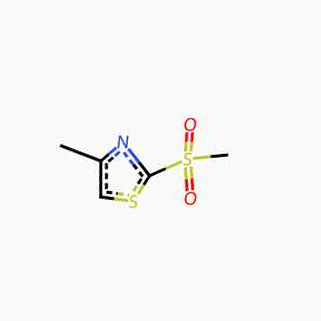 Cc1csc(S(C)(=O)=O)n1